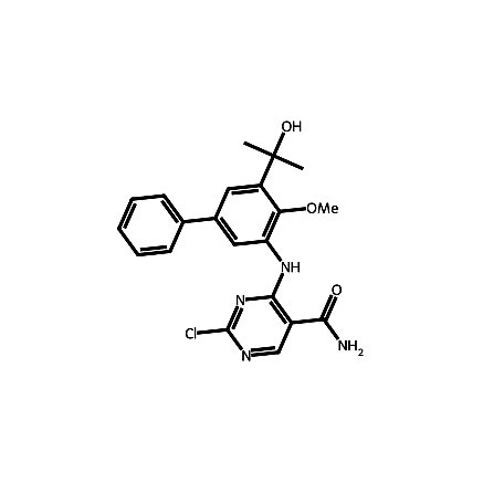 COc1c(Nc2nc(Cl)ncc2C(N)=O)cc(-c2ccccc2)cc1C(C)(C)O